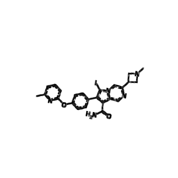 Cc1cccc(Oc2ccc(-c3c(C(N)=O)c4cnc(C5CN(C)C5)cn4c3I)cc2)n1